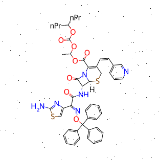 CCCC(CCC)OC(=O)OC(C)OC(=O)C1=C(/C=C\c2cccnc2)CS[C@H]2[C@H](NC(=O)C(=NOC(c3ccccc3)(c3ccccc3)c3ccccc3)c3csc(N)n3)C(=O)N12